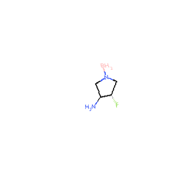 BN1CC(N)[C@@H](F)C1